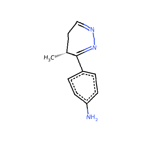 C[C@@H]1CC=NN=C1c1ccc(N)cc1